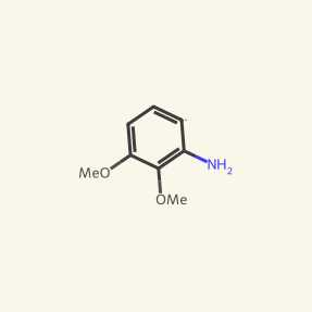 COc1cc[c]c(N)c1OC